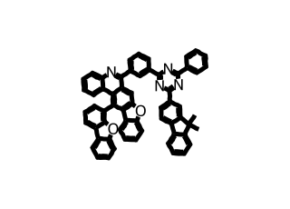 CC1(C)c2ccccc2-c2ccc(-c3nc(-c4ccccc4)nc(-c4cccc(-c5nc6ccccc6c6c(-c7cccc8c7oc7ccccc78)c7c(cc56)oc5ccccc57)c4)n3)cc21